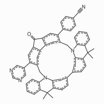 CC1(C)c2ccccc2N2Cc3cc4c(cc3-c3ccc(C#N)cc3)C(=O)c3cc(-c5cncnc5)c(cc3-4)CN3c4ccccc4C(C)(C)c4ccc(cc43)-c3ccc1c2c3